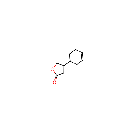 O=C1CC(C2CC=CCC2)CO1